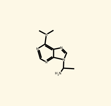 CC(N)n1cnc2c(N(C)C)ncnc21